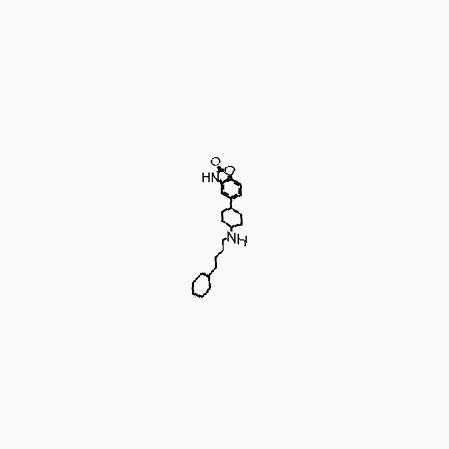 O=c1[nH]c2cc(C3CCC(NCCCCC4CCCCC4)CC3)ccc2o1